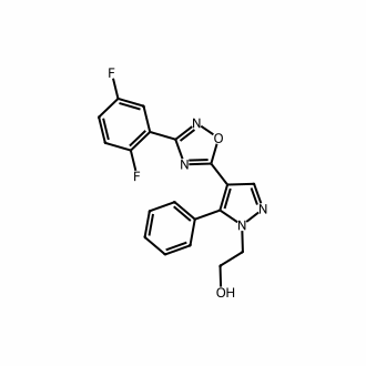 OCCn1ncc(-c2nc(-c3cc(F)ccc3F)no2)c1-c1ccccc1